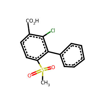 CS(=O)(=O)c1ccc(C(=O)O)c(Cl)c1-c1ccccc1